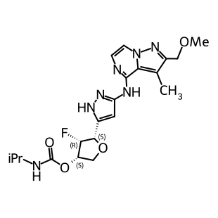 COCc1nn2ccnc(Nc3cc([C@@H]4OC[C@H](OC(=O)NC(C)C)[C@@H]4F)[nH]n3)c2c1C